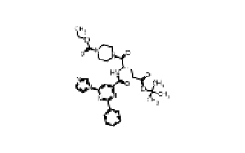 CCOC(=O)N1CCN(C(=O)[C@H](CCC(=O)OC(C)(C)C)NC(=O)c2cc(-n3ccnc3)nc(-c3ccccc3)n2)CC1